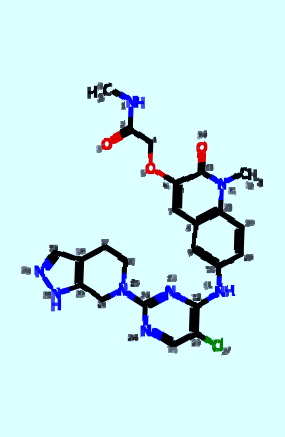 CNC(=O)COc1cc2cc(Nc3nc(N4CCc5cn[nH]c5C4)ncc3Cl)ccc2n(C)c1=O